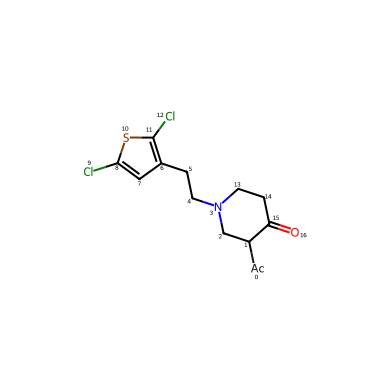 CC(=O)C1CN(CCc2cc(Cl)sc2Cl)CCC1=O